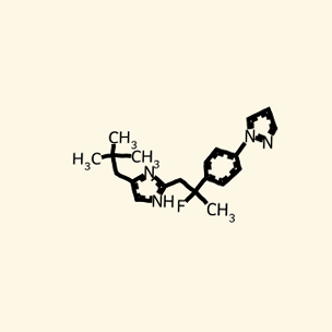 CC(C)(C)Cc1c[nH]c(CC(C)(F)c2ccc(-n3cccn3)cc2)n1